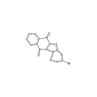 O=C1c2ccccc2C(=O)c2c1sc1cc(Br)ccc21